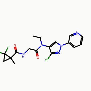 CCN(C(=O)CNC(=O)C1(C)CC1(F)F)c1cn(-c2cccnc2)nc1Cl